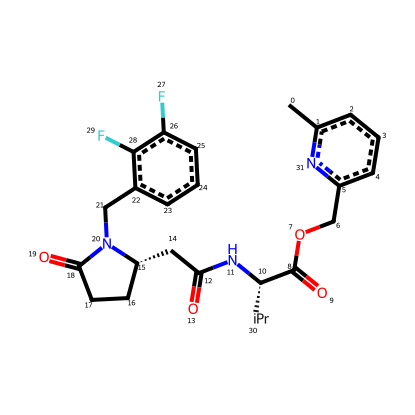 Cc1cccc(COC(=O)[C@@H](NC(=O)C[C@@H]2CCC(=O)N2Cc2cccc(F)c2F)C(C)C)n1